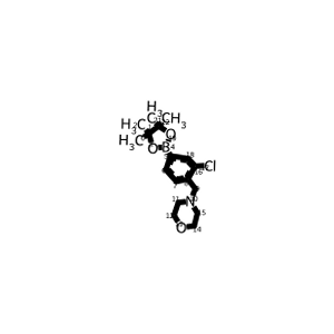 CC1(C)OB(c2ccc(CN3CCOCC3)c(Cl)c2)OC1(C)C